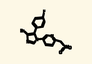 O=[SH](=O)Cc1ccc(-n2cnc(Br)c2-c2ccc(F)cc2)cn1